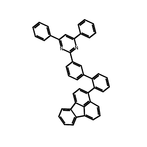 c1ccc(-c2cc(-c3ccccc3)nc(-c3cccc(-c4ccccc4-c4ccc5c6c(cccc46)-c4ccccc4-5)c3)n2)cc1